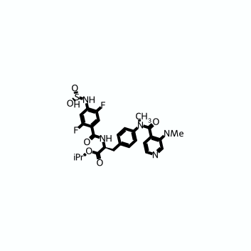 CNc1cnccc1C(=O)N(C)c1ccc(C[C@H](NC(=O)c2cc(F)c(N[SH](=O)=O)cc2F)C(=O)OC(C)C)cc1